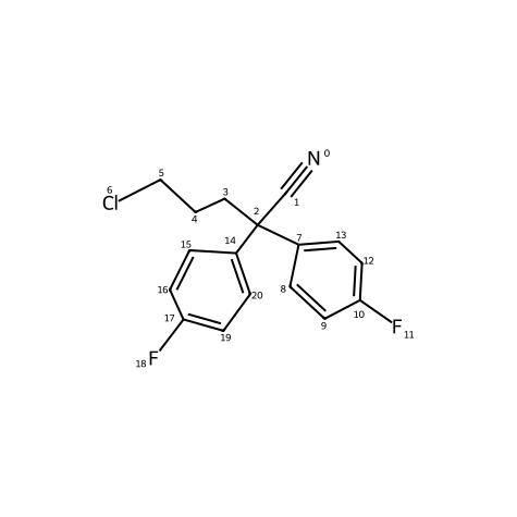 N#CC(CCCCl)(c1ccc(F)cc1)c1ccc(F)cc1